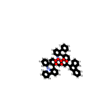 c1ccc(-c2ccccc2-c2c(-c3ccccc3)cccc2N(c2ccc(-c3cc4ccccc4c4ccccc34)cc2)c2cccc(-c3cccc4c5ccccc5n(-c5ccccc5)c34)c2)cc1